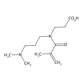 C=C(C)C(=O)N(CCCN(C)C)CCC(=O)O